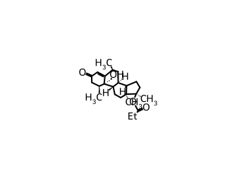 CCC(=O)O[C@]1(C)CC[C@H]2[C@@H]3C[C@H](C)C4=CC(=O)C[C@H](C)[C@]4(CO)[C@H]3CC[C@@]21C